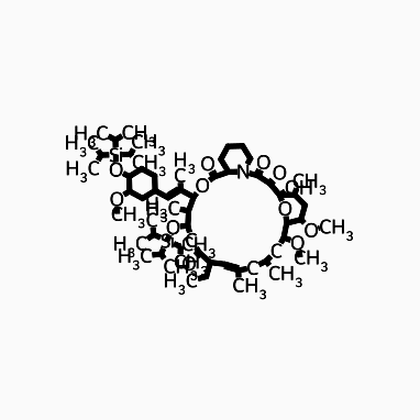 CCC1/C=C(\C)CC(C)CC(OC)C2OC(O)(C(=O)C(=O)N3CCCCC3C(=O)OC(C(C)=CC3CCC(O[Si](C(C)C)(C(C)C)C(C)C)C(OC)C3)C(C)C(O[Si](C(C)C)(C(C)C)C(C)C)CC1=O)C(C)CC2OC